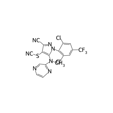 CN(c1cnccn1)c1c(SC#N)c(C#N)nn1-c1c(Cl)cc(C(F)(F)F)cc1Cl